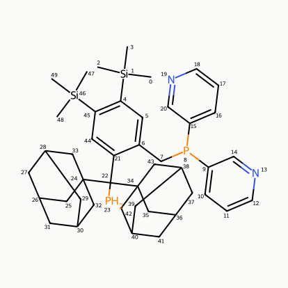 C[Si](C)(C)c1cc(CP(c2cccnc2)c2cccnc2)c(C(P)(C23CC4CC(CC(C4)C2)C3)C23CC4CC(CC(C4)C2)C3)cc1[Si](C)(C)C